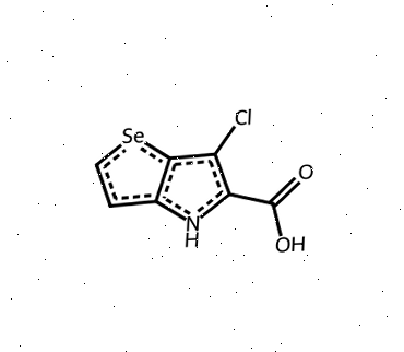 O=C(O)c1[nH]c2cc[se]c2c1Cl